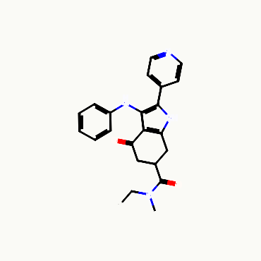 CC(C)CN(C)C(=O)C1CC(=O)c2c([nH]c(-c3ccncc3)c2Nc2ccccc2)C1